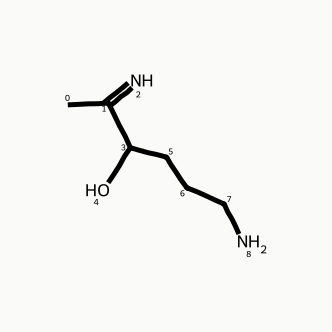 CC(=N)C(O)CCCN